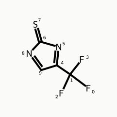 FC(F)(F)C1=NC(=S)N=C1